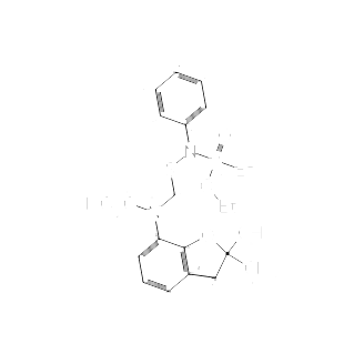 CCOP(=O)(CC)N(SCN(C(=O)O)c1cccc2c1OC(C)(C)C2)c1ccccc1